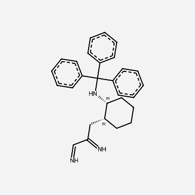 N=CC(=N)C[C@H]1CCCC[C@H]1NC(c1ccccc1)(c1ccccc1)c1ccccc1